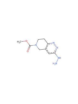 COC(=O)N1CCc2nnc(NN)cc2C1